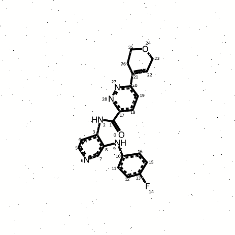 O=C(Nc1ccncc1Nc1ccc(F)cc1)c1ccc(C2=CCOCC2)nn1